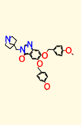 COc1ccc(COc2cc3ncn(CC45CCN(CC4)C5)c(=O)c3cc2OCc2ccc(OC)cc2)cc1